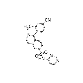 Cc1cc(C#N)ccc1-c1nccc2cc(S(=O)(=O)Nc3ccncn3)ccc12